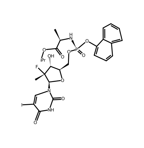 CC(C)OC(=O)[C@@H](C)N[P@@](=O)(OC[C@H]1O[C@@H](n2cc(I)c(=O)[nH]c2=O)[C@](C)(F)[C@@H]1O)Oc1cccc2ccccc12